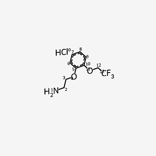 Cl.NCCOc1ccccc1OCC(F)(F)F